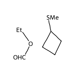 CCOC=O.CSC1CCC1